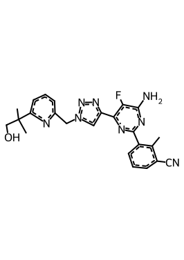 Cc1c(C#N)cccc1-c1nc(N)c(F)c(-c2cn(Cc3cccc(C(C)(C)CO)n3)nn2)n1